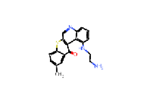 Cc1ccc2sc3cnc4cccc(NCCN)c4c3c(=O)c2c1